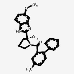 Cc1ccc(-c2ccccc2)c(C(=O)N2CCC[C@@]2(C)c2nc3cc(OC(F)(F)F)ccc3[nH]2)c1